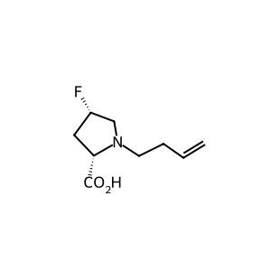 C=CCCN1C[C@@H](F)C[C@H]1C(=O)O